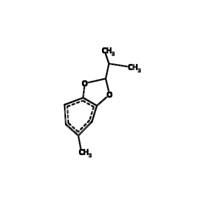 Cc1ccc2c(c1)OC(C(C)C)O2